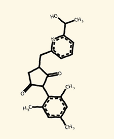 Cc1cc(C)c(C2C(=O)CC(Cc3cccc(C(C)O)n3)C2=O)c(C)c1